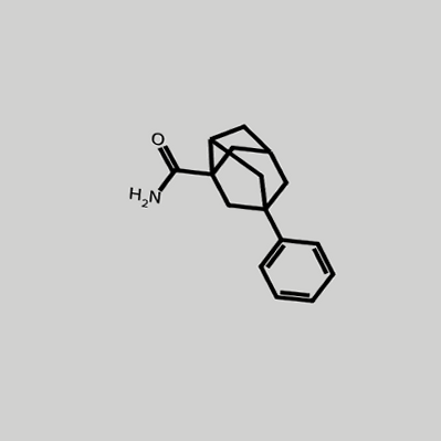 NC(=O)C12CC3CC1CC(c1ccccc1)(C3)C2